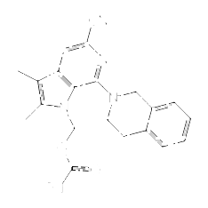 Cc1c(C)n(COC(=O)C(C)(C)C)c2c(N3CCc4ccccc4C3)nc(C#N)cc12